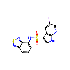 O=S(=O)(Nc1cccc2nsnc12)c1c[nH]c2ncc(I)cc12